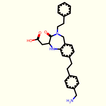 NCc1ccc(CCc2ccc3c(c2)NC(CC(=O)O)C(=O)N(CCc2ccccc2)C3)cc1